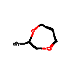 [CH2]CCC1COCCCO1